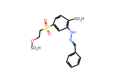 O=S(=O)(O)OCCS(=O)(=O)c1ccc(S(=O)(=O)O)c(NN=Cc2ccccc2)c1